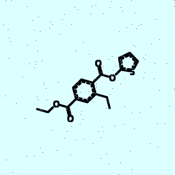 CCOC(=O)c1ccc(C(=O)Oc2cccs2)c(CC)c1